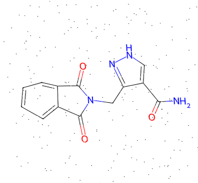 NC(=O)c1c[nH]nc1CN1C(=O)c2ccccc2C1=O